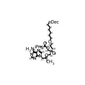 CCCCCCCCCCCCCCCCOCCC[P@](=O)(COC(=O)SC(C)C)CO[C@H](C)Cn1cnc2c(N)ncnc21